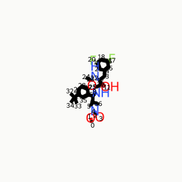 COC(=O)N1CC(C(NCC(O)C(Cc2cc(F)cc(F)c2)NC(C)=O)c2cccc(C(C)(C)C)c2)C1